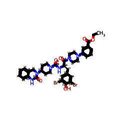 CCOC(=O)c1cccc(N2CCN(C(=O)[C@@H](Cc3cc(Br)c(O)c(Br)c3)NC(=O)N3CCC(N4Cc5ccccc5NC4=O)CC3)CC2)c1